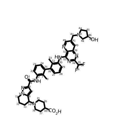 Cc1c(NC(=O)c2cc3n(n2)CCCC3N2CCC(C(=O)O)CC2)cccc1-c1cccc(Nc2nc(C(F)F)nc3cc(CN4CC[C@@H](O)C4)cnc23)c1C